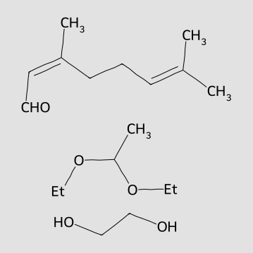 CC(C)=CCCC(C)=CC=O.CCOC(C)OCC.OCCO